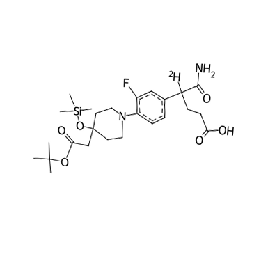 [2H]C(CCC(=O)O)(C(N)=O)c1ccc(N2CCC(CC(=O)OC(C)(C)C)(O[Si](C)(C)C)CC2)c(F)c1